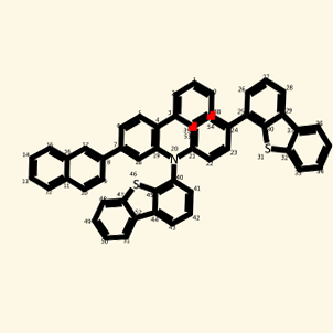 c1ccc(-c2ccc(-c3ccc4ccccc4c3)cc2N(c2ccc(-c3cccc4c3sc3ccccc34)cc2)c2cccc3c2sc2ccccc23)cc1